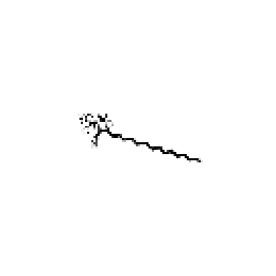 CCCCCCCCCCCCCC=CC1OC(C)(C)N(C(=O)O)C1C#N